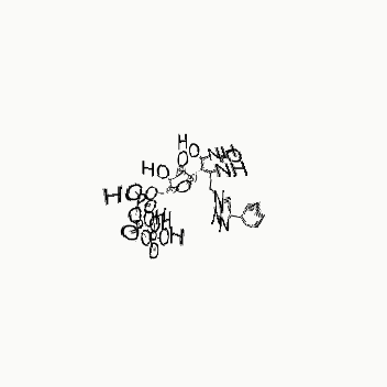 O=c1[nH]c(Cn2cc(-c3ccccc3)nn2)c([C@@H]2O[C@H](COP(=O)(O)OP(=O)(O)OP(=O)(O)O)C(O)[C@@H]2O)c(=O)[nH]1